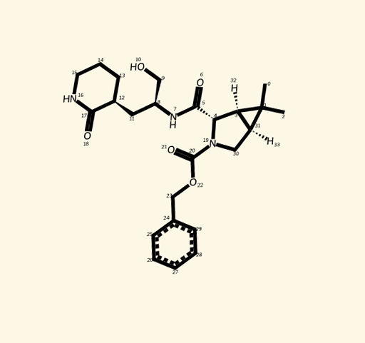 CC1(C)[C@@H]2[C@@H](C(=O)N[C@H](CO)C[C@@H]3CCCNC3=O)N(C(=O)OCc3ccccc3)C[C@@H]21